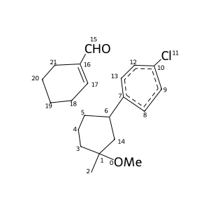 COC1(C)CCCC(c2ccc(Cl)cc2)C1.O=CC1=CCCCC1